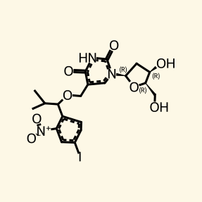 CC(C)C(OCc1cn([C@H]2C[C@@H](O)[C@@H](CO)O2)c(=O)[nH]c1=O)c1ccc(I)cc1[N+](=O)[O-]